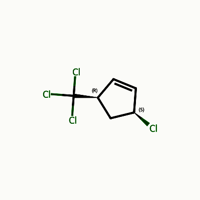 Cl[C@@H]1C=C[C@H](C(Cl)(Cl)Cl)C1